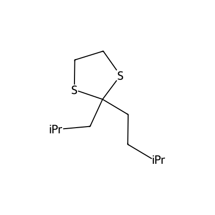 CC(C)CCC1(CC(C)C)SCCS1